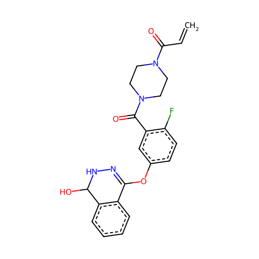 C=CC(=O)N1CCN(C(=O)c2cc(OC3=NNC(O)c4ccccc43)ccc2F)CC1